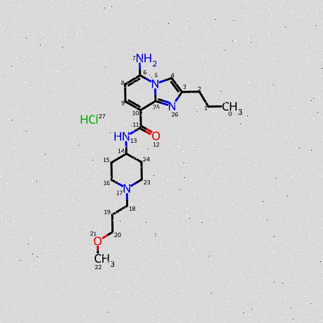 CCCc1cn2c(N)ccc(C(=O)NC3CCN(CCCOC)CC3)c2n1.Cl